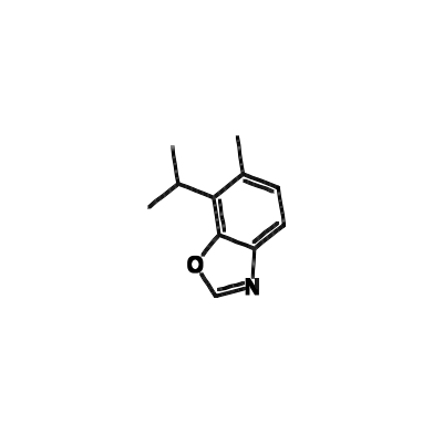 Cc1ccc2ncoc2c1C(C)C